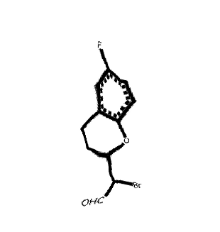 O=CC(Br)C1CCc2cc(F)ccc2O1